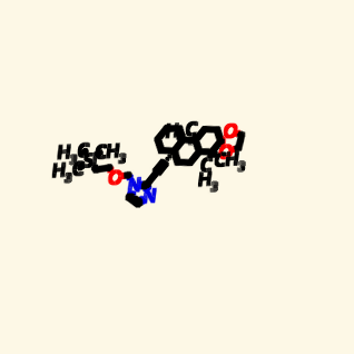 CC1(C)C2CC[C@@]3(C#Cc4nccn4COCC[Si](C)(C)C)CCCC=C3[C@@]2(C)CCC12OCCO2